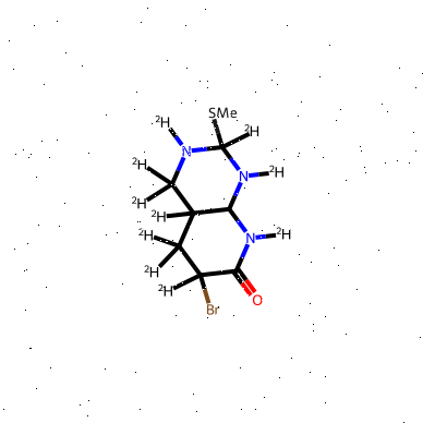 [2H]N1C(=O)C([2H])(Br)C([2H])([2H])C2([2H])C1N([2H])C([2H])(SC)N([2H])C2([2H])[2H]